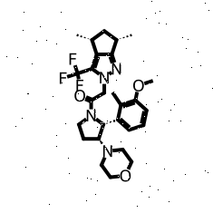 COc1cccc([C@@H]2[C@H](N3CCOCC3)CCN2C(=O)Cn2nc3c(c2C(F)(F)F)[C@H](C)C[C@@H]3C)c1C